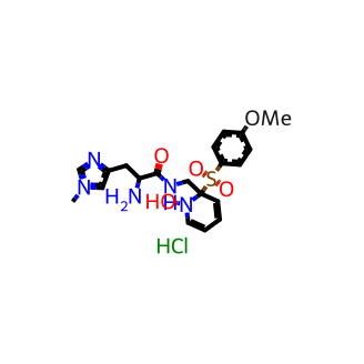 COc1ccc(S(=O)(=O)C2(CNC(=O)C(N)Cc3cn(C)cn3)C=CC=CN2O)cc1.Cl